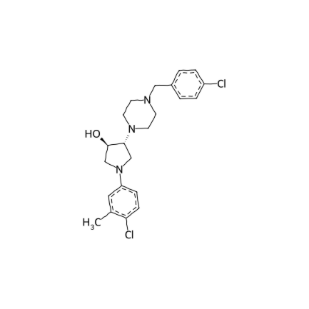 Cc1cc(N2C[C@@H](O)[C@H](N3CCN(Cc4ccc(Cl)cc4)CC3)C2)ccc1Cl